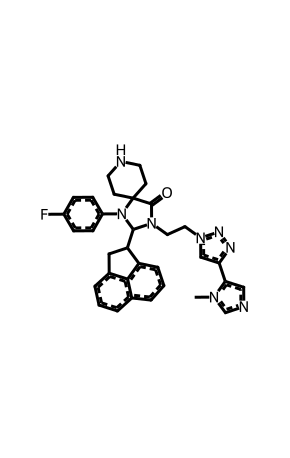 Cn1cncc1-c1cn(CCN2C(=O)C3(CCNCC3)N(c3ccc(F)cc3)C2C2Cc3cccc4cccc2c34)nn1